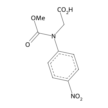 COC(=O)N(CC(=O)O)c1ccc([N+](=O)[O-])cc1